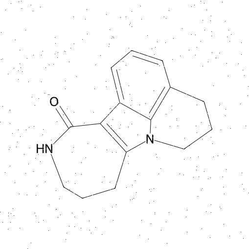 O=C1NCCCc2c1c1cccc3c1n2CCC3